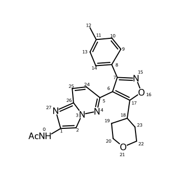 CC(=O)Nc1cn2nc(-c3c(-c4ccc(C)cc4)noc3C3CCOCC3)ccc2n1